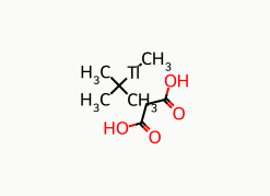 O=C(O)CC(=O)O.[CH3][Tl][C](C)(C)C